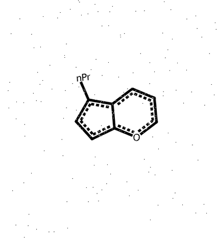 [CH2]CCc1ccc2occcc1-2